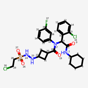 O=C(NC1CCCCC1)C(c1ccccc1Cl)N(C(=O)C1CC(NNS(=O)(=O)CCCl)C1)c1cccc(F)c1